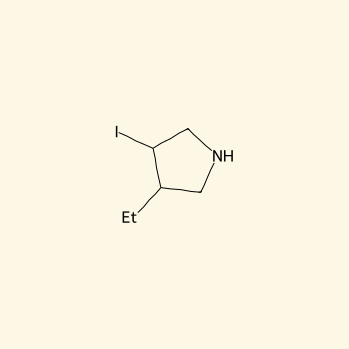 CCC1CNCC1I